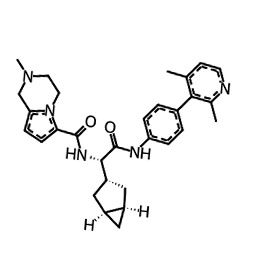 Cc1ccnc(C)c1-c1ccc(NC(=O)[C@@H](NC(=O)c2ccc3n2CCN(C)C3)[C@@H]2C[C@H]3C[C@H]3C2)cc1